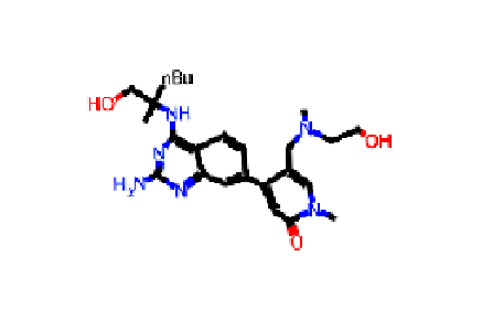 CCCCC(C)(CO)Nc1nc(N)nc2cc(-c3cc(=O)n(C)cc3CN(C)CCO)ccc12